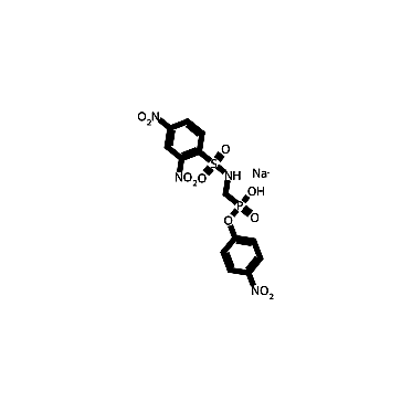 O=[N+]([O-])c1ccc(OP(=O)(O)CNS(=O)(=O)c2ccc([N+](=O)[O-])cc2[N+](=O)[O-])cc1.[Na]